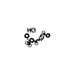 Cl.Cl.O=C(CCN1CCN(C(=O)c2ccccc2)CC1)c1ccc(Sc2ccccc2)c([N+](=O)[O-])c1